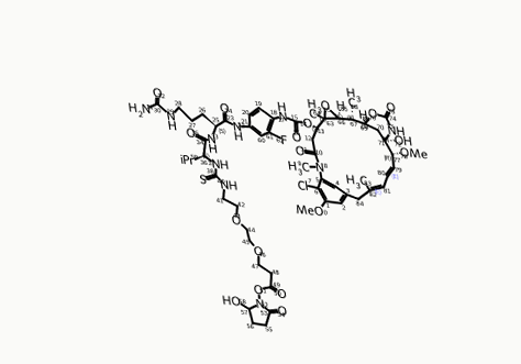 COc1cc2cc(c1Cl)N(C)C(=O)C[C@H](OC(=O)Nc1ccc(NC(=O)[C@H](CCCNC(N)=O)NC(=O)[C@@H](NC(=S)NCCOCCOCCC(=O)ON3C(=O)CCC3O)C(C)C)cc1F)[C@]1(C)O[C@H]1[C@H](C)[C@@H]1C[C@@](O)(NC(=O)O1)[C@H](OC)/C=C/C=C(\C)C2